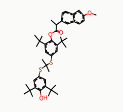 COc1ccc2cc(C(C)C(=O)Oc3c(C(C)(C)C)cc(SC(C)(C)Sc4cc(C(C)(C)C)c(O)c(C(C)(C)C)c4)cc3C(C)(C)C)ccc2c1